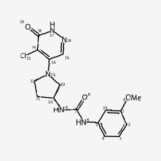 COc1cccc(NC(=O)NC2CCN(c3cn[nH]c(=O)c3Cl)C2)c1